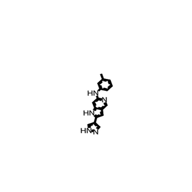 Cc1cccc(Nc2cc3[nH]c(-c4cn[nH]c4)cc3cn2)c1